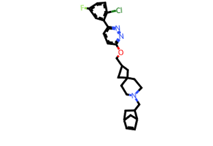 Fc1ccc(Cl)c(-c2ccc(OCC3CC4(CCN(CC5CC6C=CC5C6)CC4)C3)nn2)c1